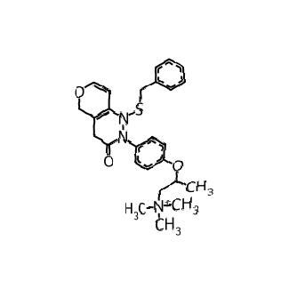 CC(C[N+](C)(C)C)Oc1ccc(N2C(=O)CC3=C(C=COC3)N2SCc2ccccc2)cc1